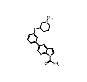 CN1CCCC(Oc2cccc(-c3cnc4c([c]cn4C(N)=O)c3)c2)C1